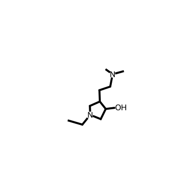 CCN1CC(O)C(CCN(C)C)C1